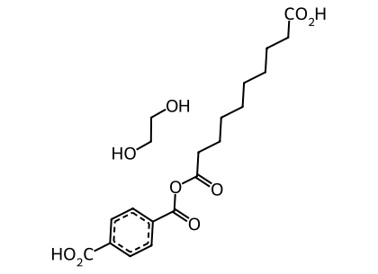 O=C(O)CCCCCCCCC(=O)OC(=O)c1ccc(C(=O)O)cc1.OCCO